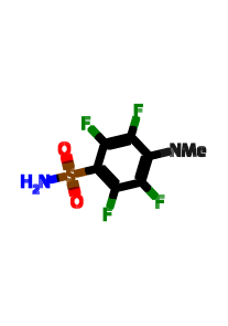 CNc1c(F)c(F)c(S(N)(=O)=O)c(F)c1F